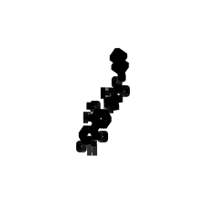 COc1c(N2CC(C)(NC(=O)OCC3CC4(CCC4)C3)C2)ccc(C2CCC(=O)NC2=O)c1F